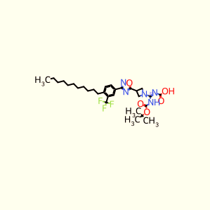 CCCCCCCCCCCc1ccc(-c2noc(C3CN(/C(=N/C(=O)O)NC(=O)OC(C)(C)C)C3)n2)cc1C(F)(F)F